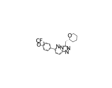 FC(F)(F)Oc1ccc(-c2ccc3nnc(C[C@H]4CCCCO4)n3n2)cc1